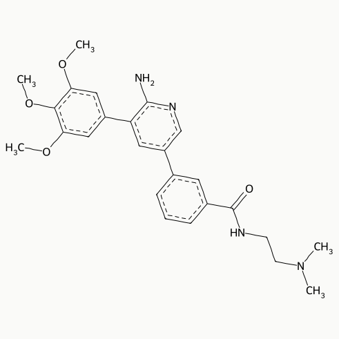 COc1cc(-c2cc(-c3cccc(C(=O)NCCN(C)C)c3)cnc2N)cc(OC)c1OC